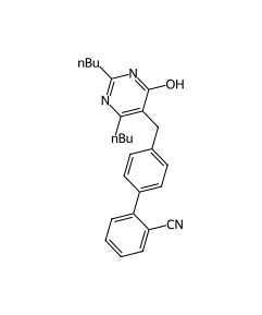 CCCCc1nc(O)c(Cc2ccc(-c3ccccc3C#N)cc2)c(CCCC)n1